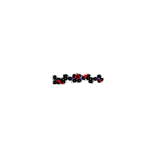 Cc1cc(C)c(N(c2ccccc2)c2ccc3c(c2)Oc2cccc4c2c-3cc2c3ccccc3c(-c3ccc(N(c5ccccc5)c5ccccc5-c5ccccc5)cc3)cc42)c(C)c1-c1cccc(N(c2ccc(-c3cc4c5cccc6c5c(cc4c4ccccc34)-c3ccc(N(c4ccccc4)c4ccccc4-c4ccccc4)cc3O6)cc2)c2ccccc2-c2ccccc2)c1